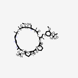 [2H]C([2H])([2H])O[C@H]1C[C@@H]2CC[C@@H](C)[C@@](O)(O2)C(=O)C(=O)N2CCCC[C@H]2C(=O)O[C@H]([C@H](C)C[C@@H]2CC[C@@H](OP(C)(=O)C([2H])([2H])[2H])[C@H](OC)C2)CC(=O)[C@H](C)/C=C(\C)[C@@H](O)[C@@H](OC)C(=O)[C@H](C)C[C@H](C)/C=C/C=C/C=C/1C